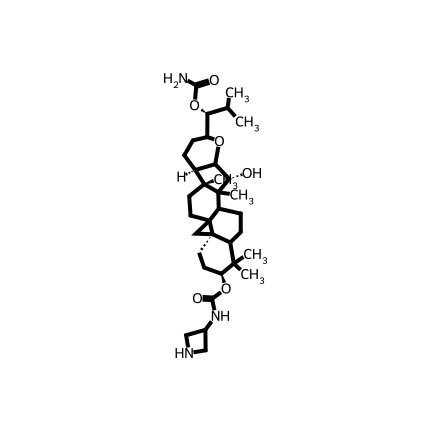 CC(C)[C@@H](OC(N)=O)C1CC[C@H]2C(O1)[C@H](O)C1(C)C3CCC4C(C)(C)[C@@H](OC(=O)NC5CNC5)CC[C@@]45CC35CC[C@]21C